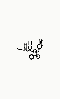 CCCCNCC(O)COC(Cc1ccc(N(C)C)cc1)C(=O)c1ccccc1